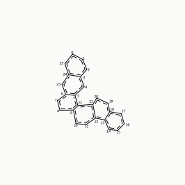 c1ccc2cc3c(ccc4ccc5c6ccccc6ccc5c43)cc2c1